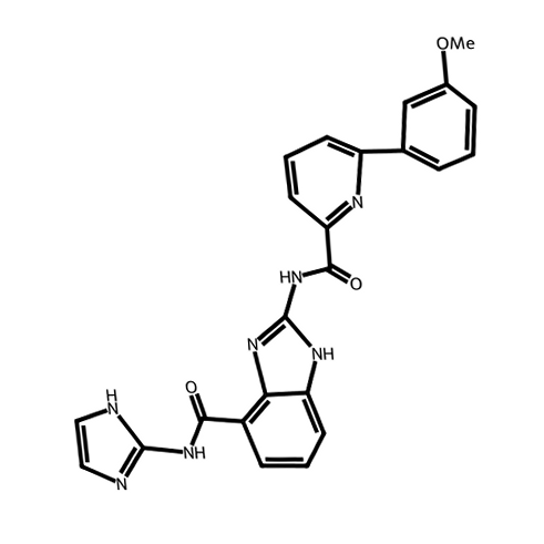 COc1cccc(-c2cccc(C(=O)Nc3nc4c(C(=O)Nc5ncc[nH]5)cccc4[nH]3)n2)c1